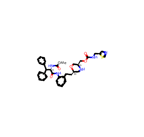 COC(=O)N[C@H](C(=O)Nc1ccccc1CC[C@@H]1CN[C@H](COC(=O)NCc2cncs2)CO1)C(c1ccccc1)c1ccccc1